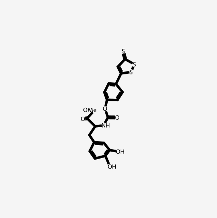 COC(=O)C(Cc1ccc(O)c(O)c1)NC(=O)Oc1ccc(-c2cc(=S)ss2)cc1